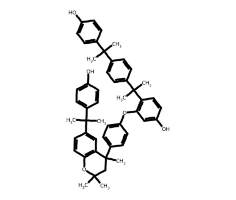 CC1(C)CC(C)(c2ccc(Oc3cc(O)ccc3C(C)(C)c3ccc(C(C)(C)c4ccc(O)cc4)cc3)cc2)c2cc(C(C)(C)c3ccc(O)cc3)ccc2O1